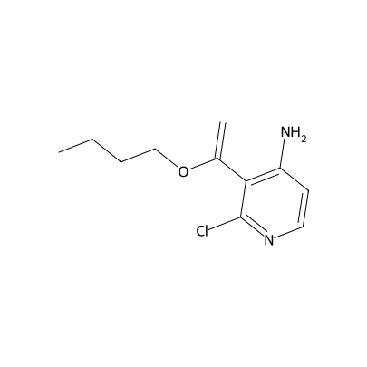 C=C(OCCCC)c1c(N)ccnc1Cl